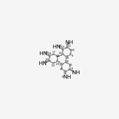 N=c1cc2c(cc1=N)c1ccc(=N)c(=N)c1c1cc(=N)c(=N)cc21